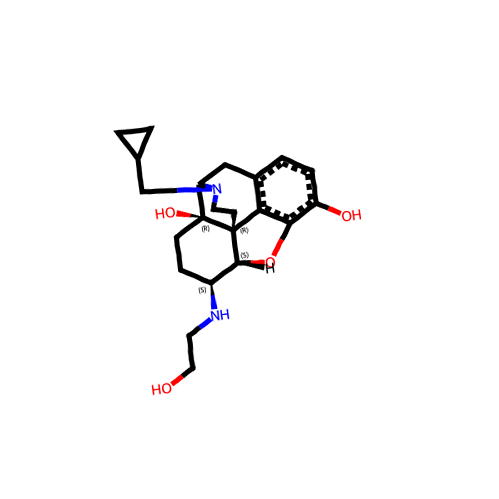 OCCN[C@H]1CC[C@]2(O)C3Cc4ccc(O)c5c4[C@]2(CCN3CC2CC2)[C@@H]1O5